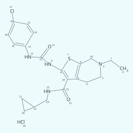 CCN1CCc2c(sc(NC(=O)Nc3ccc(Cl)cc3)c2C(=O)NCC2CC2)C1.Cl